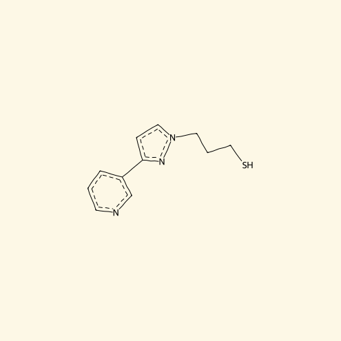 SCCCn1ccc(-c2cccnc2)n1